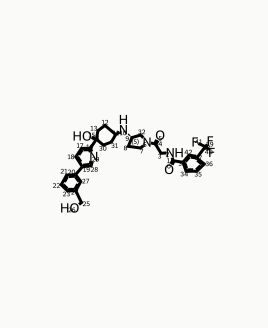 O=C(NCC(=O)N1CC[C@H](NC2CCC(O)(c3ccc(-c4cccc(CO)c4)cn3)CC2)C1)c1cccc(C(F)(F)F)c1